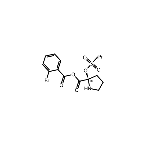 CC(C)S(=O)(=O)O[C@@]1(C(=O)OC(=O)c2ccccc2Br)CCCN1